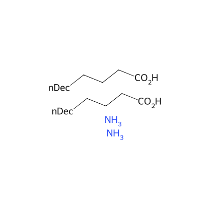 CCCCCCCCCCCCCC(=O)O.CCCCCCCCCCCCCC(=O)O.N.N